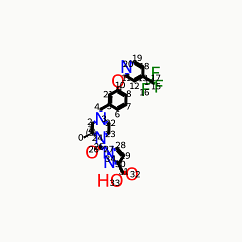 C[C@H]1CN(Cc2cccc(Oc3cc(C(F)(F)F)ccn3)c2)CCN1C(=O)n1ccc(C(=O)O)n1